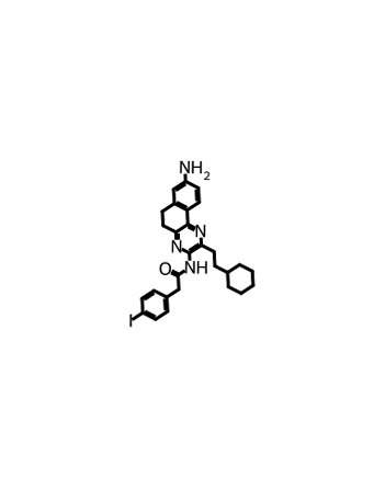 Nc1ccc2c(c1)CCc1nc(NC(=O)Cc3ccc(I)cc3)c(CCC3CCCCC3)nc1-2